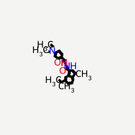 CCN(CC)c1ccc(C=NNC(=O)c2cc(C)c3cccc(C(C)C)cc2-3)c(O)c1